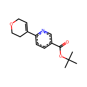 CC(C)(C)OC(=O)c1ccc(C2=CCOCC2)nc1